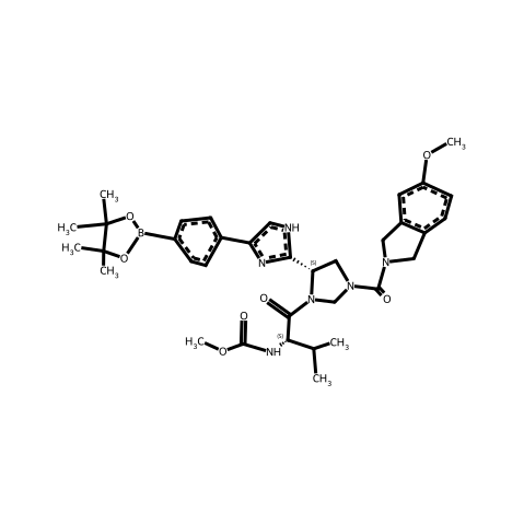 COC(=O)N[C@H](C(=O)N1CN(C(=O)N2Cc3ccc(OC)cc3C2)C[C@H]1c1nc(-c2ccc(B3OC(C)(C)C(C)(C)O3)cc2)c[nH]1)C(C)C